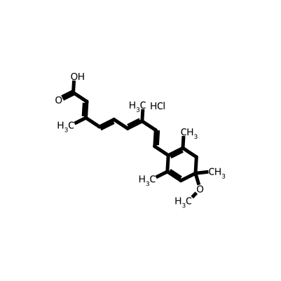 COC1(C)C=C(C)C(C=CC(C)=CC=CC(C)=CC(=O)O)=C(C)C1.Cl